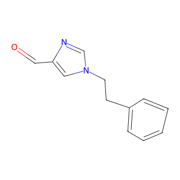 O=Cc1cn(CCc2ccccc2)cn1